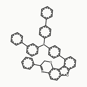 c1ccc(C2=Nc3ccc4oc5cccc(-c6ccc(N(c7ccc(-c8ccccc8)cc7)c7cccc(-c8ccccc8)c7)cc6)c5c4c3OC2)cc1